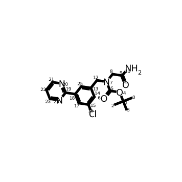 CC(C)(C)OC(=O)N(CC(N)=O)Cc1cc(Cl)cc(-c2ncccn2)c1